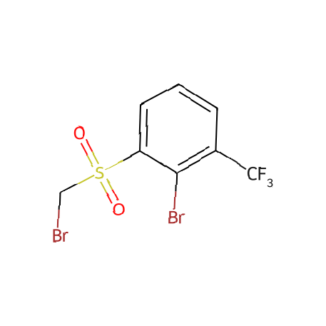 O=S(=O)(CBr)c1cccc(C(F)(F)F)c1Br